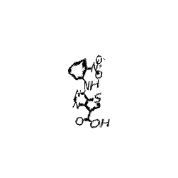 O=C(O)c1csc2c(Nc3ccccc3[N+](=O)[O-])ncnc12